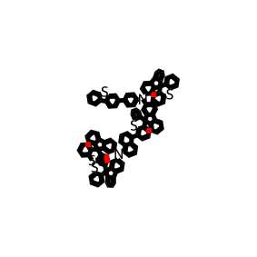 c1ccc2c(c1)Sc1ccccc1C21c2ccccc2-c2ccc(N(c3ccc(-c4ccc5c(c4)sc4ccccc45)cc3)c3ccc4c(c3)C3(c5ccccc5Sc5c(-c6cccc7c(N(c8ccc9c(c8)C8(c%10ccccc%10Sc%10ccccc%108)c8ccccc8-9)c8ccc9c(c8)C8(c%10ccccc%10Sc%10ccccc%108)c8ccccc8-9)cccc67)cccc53)c3ccccc3-4)cc21